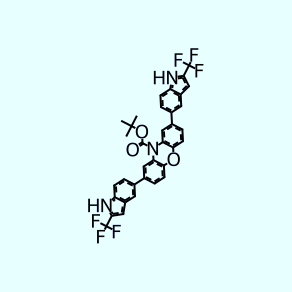 CC(C)(C)OC(=O)N1c2cc(-c3ccc4[nH]c(C(F)(F)F)cc4c3)ccc2Oc2ccc(-c3ccc4[nH]c(C(F)(F)F)cc4c3)cc21